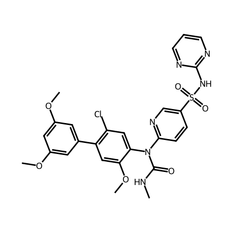 CNC(=O)N(c1ccc(S(=O)(=O)Nc2ncccn2)cn1)c1cc(Cl)c(-c2cc(OC)cc(OC)c2)cc1OC